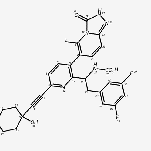 Cc1c(-c2ccc(C#CC3(O)CCOCC3)nc2C(Cc2cc(F)cc(F)c2)NC(=O)O)ccc2n[nH]c(=O)n12